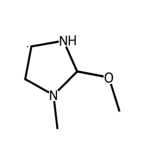 COC1N[CH]CN1C